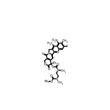 CC[C@@]1(OC(=O)N(C)CCN(C)C(=O)OC(C)(C)C)C(=O)OCc2c1cc1n(c2=O)Cc2c-1nc1cc(F)c(C)c([N+](=O)[O-])c1c2C